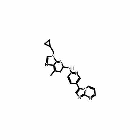 CC1=c2ncn(CC3CC3)c2=NC(Nc2ccc(-c3cnc4ncccn34)cn2)C1